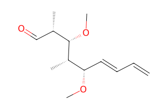 C=C/C=C/[C@H](OC)[C@H](C)[C@@H](OC)[C@@H](C)C=O